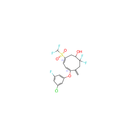 C=C1CC(F)(F)C(O)C/C(S(=O)(=O)C(F)F)=C\C=C/1Oc1cc(F)cc(Cl)c1